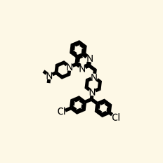 CN(C)C1CCN(c2nc(CN3CCN(C(c4ccc(Cl)cc4)c4ccc(Cl)cc4)CC3)nc3ccccc23)CC1